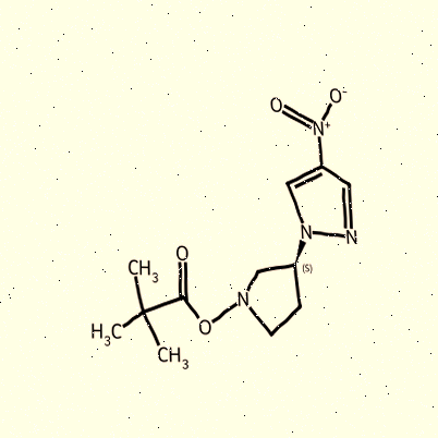 CC(C)(C)C(=O)ON1CC[C@H](n2cc([N+](=O)[O-])cn2)C1